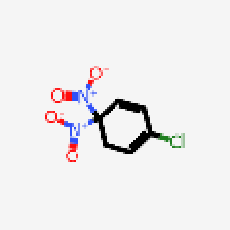 O=[N+]([O-])C1([N+](=O)[O-])C=CC(Cl)=CC1